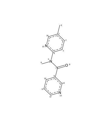 Cc1ccc(N(C)C(=O)c2cccnc2)nc1